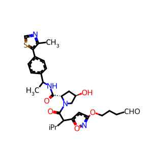 Cc1ncsc1-c1ccc(C(C)NC(=O)[C@@H]2C[C@@H](O)CN2C(=O)C(c2cc(OCCCC=O)no2)C(C)C)cc1